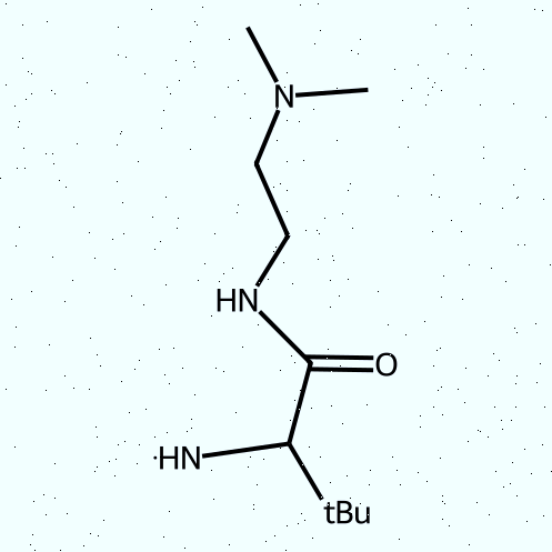 CN(C)CCNC(=O)C([NH])C(C)(C)C